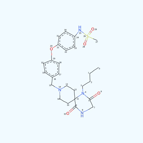 CCCCN1C(=O)CNC(=O)C12CCN(Cc1ccc(Oc3ccc(NS(C)(=O)=O)cc3)cc1)CC2